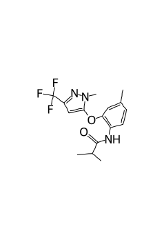 Cc1ccc(NC(=O)C(C)C)c(Oc2cc(C(F)(F)F)nn2C)c1